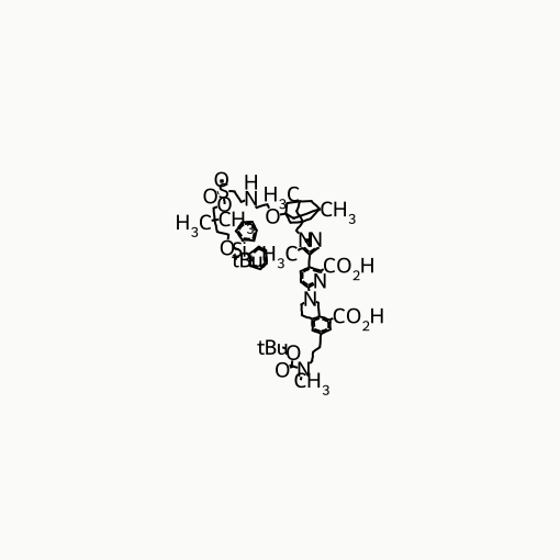 Cc1c(-c2ccc(N3CCc4cc(CCCN(C)C(=O)OC(C)(C)C)cc(C(=O)O)c4C3)nc2C(=O)O)cnn1CC12CC3(C)CC(C)(C1)CC(OCCNCCS(=O)(=O)OCC(C)(C)CCO[Si](c1ccccc1)(c1ccccc1)C(C)(C)C)(C3)C2